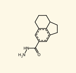 NNC(=O)c1cc2c3c(c1)CCC3CCC2